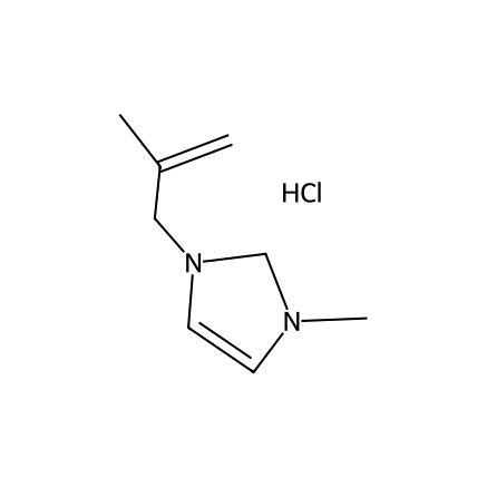 C=C(C)CN1C=CN(C)C1.Cl